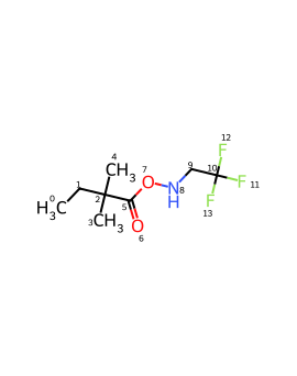 CCC(C)(C)C(=O)ONCC(F)(F)F